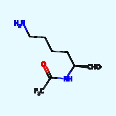 NCCCC[C@@H]([C]=O)NC(=O)C(F)(F)F